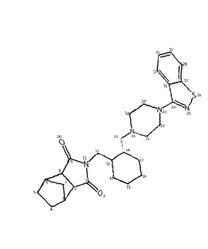 O=C1C2C3CCC(C3)C2C(=O)N1CC1CCCC[C@H]1CN1CCN(c2nsc3ccccc23)CC1